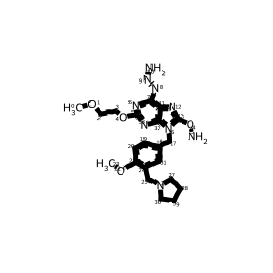 COCCOc1nc(N=NN)c2nc(ON)n(Cc3ccc(OC)c(CN4CCCC4)c3)c2n1